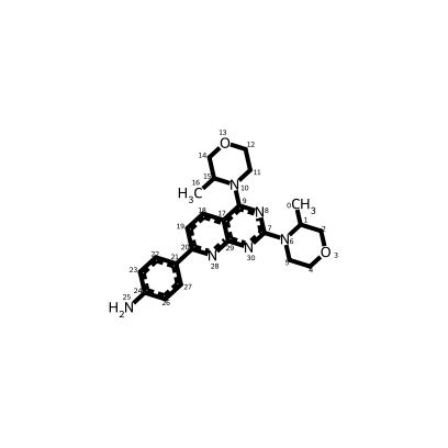 CC1COCCN1c1nc(N2CCOCC2C)c2ccc(-c3ccc(N)cc3)nc2n1